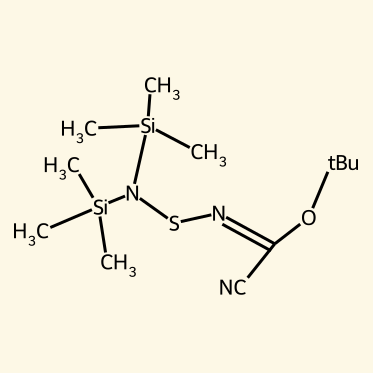 CC(C)(C)OC(C#N)=NSN([Si](C)(C)C)[Si](C)(C)C